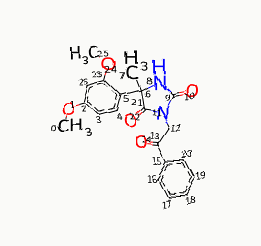 COc1ccc(C2(C)NC(=O)N(CC(=O)c3ccccc3)C2=O)c(OC)c1